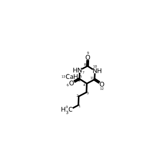 CCCCC1C(=O)NC(=O)NC1=O.[CaH2]